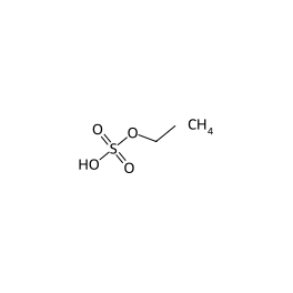 C.CCOS(=O)(=O)O